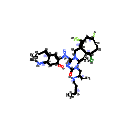 C=C1N(CC(=C\CC)/N=C\C=C/C)C(=O)N=C(NC2=CC(=C/C)/C(=N\C(C)CC)C=C2O)N1CC1=C(F)/C=C(/F)CC/C(Cl)=C\1